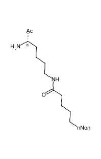 CCCCCCCCCCCCCC(=O)NCCCC[C@H](N)C(C)=O